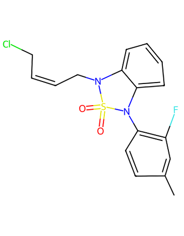 Cc1ccc(N2c3ccccc3N(C/C=C\CCl)S2(=O)=O)c(F)c1